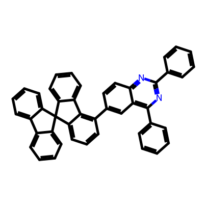 c1ccc(-c2nc(-c3ccccc3)c3cc(-c4cccc5c4-c4ccccc4C54c5ccccc5-c5ccccc54)ccc3n2)cc1